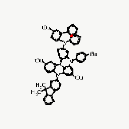 CC(C)(C)c1ccc(N2c3cc(N(c4ccccc4)c4ccc(C(C)(C)C)cc4-c4ccccc4)ccc3B3c4cc(C(C)(C)C)ccc4N(c4ccc5c(c4)C(C)(C)c4ccccc4-5)c4cc(C(C)(C)C)cc2c43)cc1